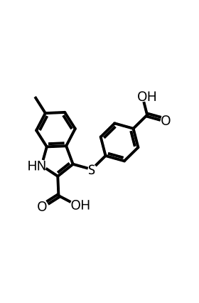 Cc1ccc2c(Sc3ccc(C(=O)O)cc3)c(C(=O)O)[nH]c2c1